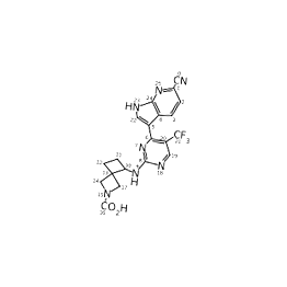 N#Cc1ccc2c(-c3nc(NC4CCC45CN(C(=O)O)C5)ncc3C(F)(F)F)c[nH]c2n1